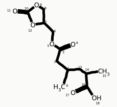 CC(CC(=O)OCC1COC(=O)O1)CC(C)C(=O)O